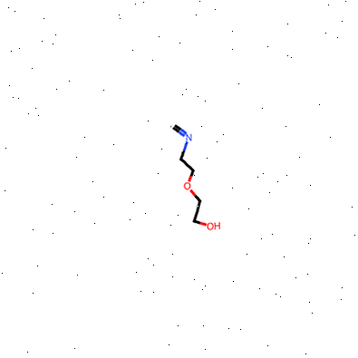 [CH]=NCCOCCO